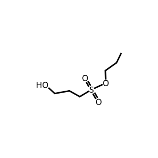 CCCOS(=O)(=O)CCCO